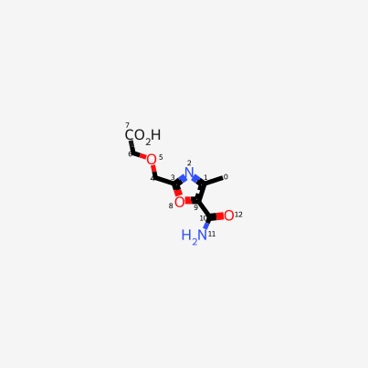 Cc1nc(COCC(=O)O)oc1C(N)=O